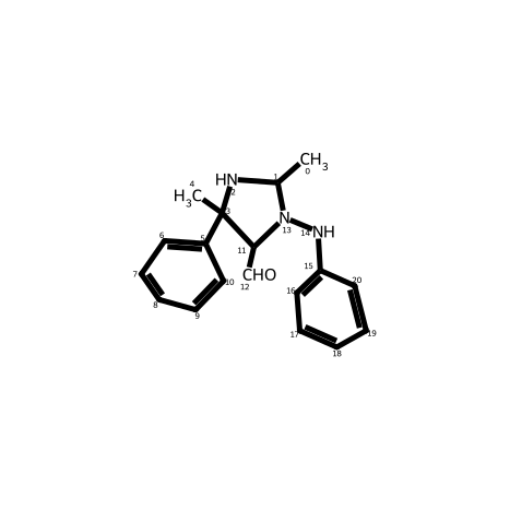 CC1NC(C)(c2ccccc2)C(C=O)N1Nc1ccccc1